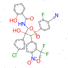 N#Cc1ccc(S(=O)(=O)C(c2ccc([N+](=O)[O-])c(C(F)(F)F)c2)C(O)(CNC(=O)c2ccccc2O)c2ccc(Cl)cc2)cc1F